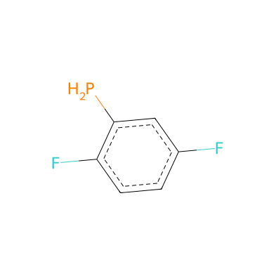 Fc1ccc(F)c(P)c1